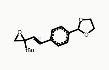 CC(C)(C)C1(/C=C/c2ccc(C3OCCO3)cc2)CO1